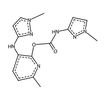 Cc1ccc(Nc2ccn(C)n2)c(OC(=O)Nc2ccn(C)n2)n1